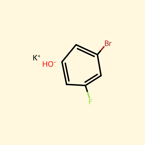 Fc1cccc(Br)c1.[K+].[OH-]